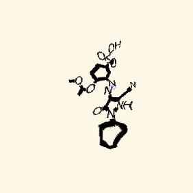 COC(C)Oc1ccc(S(=O)(=O)O)cc1/N=N/c1c(C#N)[nH]n(-c2ccccc2)c1=O